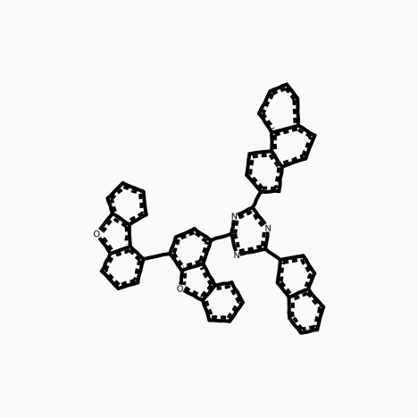 c1ccc2cc(-c3nc(-c4ccc5c(ccc6ccccc65)c4)nc(-c4ccc(-c5cccc6oc7ccccc7c56)c5oc6ccccc6c45)n3)ccc2c1